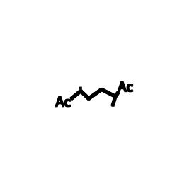 CC(=O)[CH]CCC(C)C(C)=O